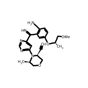 C#C[C@H]1COC[C@@H](C)N1c1cc(C(=N)c2cc(O[C@@H](C)COC)ccc2N)ncn1